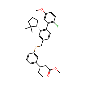 CC[C@H](CC(=O)OC)c1cccc(SCc2ccc(-c3cc(OC)ccc3F)c([C@H]3CCCC3(C)C)c2)c1